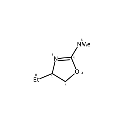 CCC1COC(NC)=N1